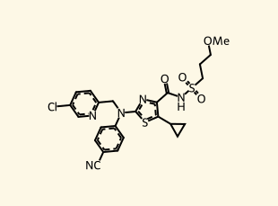 COCCCS(=O)(=O)NC(=O)c1nc(N(Cc2ccc(Cl)cn2)c2ccc(C#N)cc2)sc1C1CC1